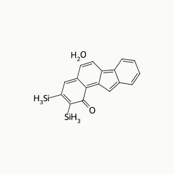 O.O=C1C([SiH3])=C([SiH3])C=c2ccc3c(c21)C=c1ccccc1=3